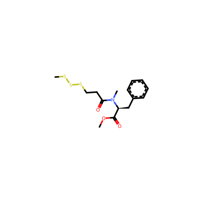 COC(=O)[C@H](Cc1ccccc1)N(C)C(=O)CCSSSC